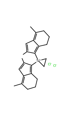 CC1=CC2=C(C)CCCC2=[C]1[Ti+2]1([C]2=C3CCCC(C)=C3C=C2C)[CH2][CH2]1.[Cl-].[Cl-]